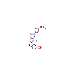 O=C(CNc1ccc(OC(F)(F)F)cc1)Nc1cccc2c1C[C@H](O)CC2